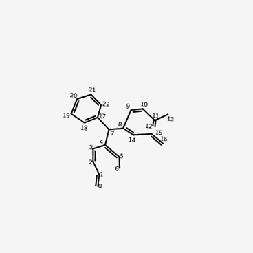 C=C/C=C\C(=C/C)C(C(/C=C\C(=C)C)=C/C=C)c1ccccc1